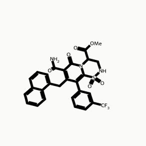 COC(=O)C1CNS(=O)(=O)c2c(-c3cccc(C(F)(F)F)c3)c(Cc3cccc4ccccc34)c(C(N)=O)c(=O)n21